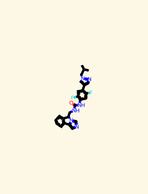 CC(C)Cn1cc(-c2cc(F)c(NC(=O)NCC3c4ccccc4-c4cncn43)cc2F)cn1